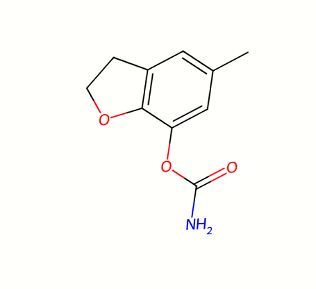 Cc1cc2c(c(OC(N)=O)c1)OCC2